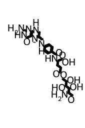 CN1c2c(nc(N)[nH]c2=O)NCC1CNc1ccc(C(=O)NC(CCC(=O)OC[C@@H](O)[C@H](O)[C@H](O)[C@@H](N)C=O)C(=O)O)cc1